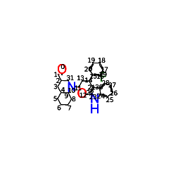 O=[C]C1CC2CCCCC2N(C(=O)CC(c2ccccc2)c2c[nH]c3cccc(F)c23)C1